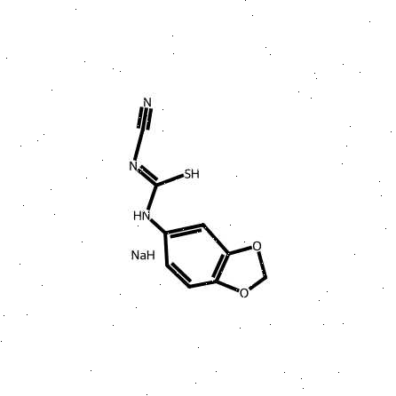 N#CN=C(S)Nc1ccc2c(c1)OCO2.[NaH]